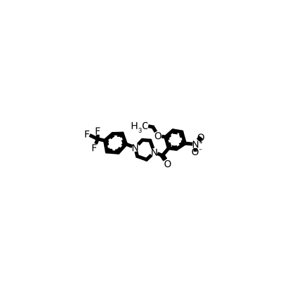 CCOc1ccc([N+](=O)[O-])cc1C(=O)N1CCN(c2ccc(C(F)(F)F)cc2)CC1